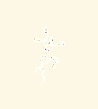 CCCCN(CC)c1ccc(/N=N/c2c(C#N)c(C#N)nn2CC#N)c(NC(C)=O)c1